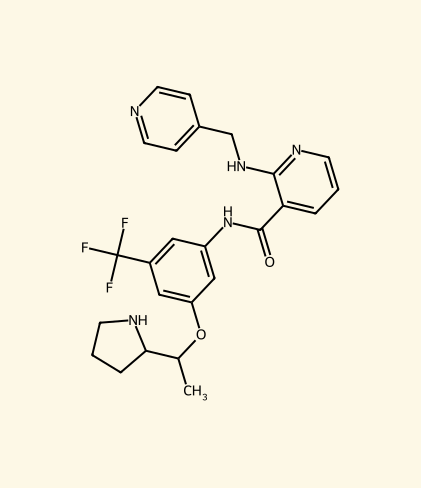 CC(Oc1cc(NC(=O)c2cccnc2NCc2ccncc2)cc(C(F)(F)F)c1)C1CCCN1